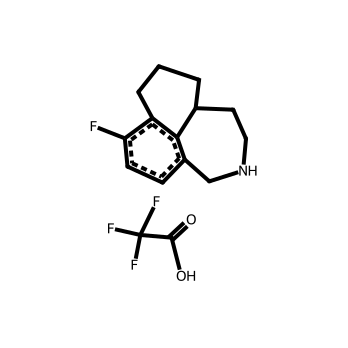 Fc1ccc2c3c1CCCC3CCNC2.O=C(O)C(F)(F)F